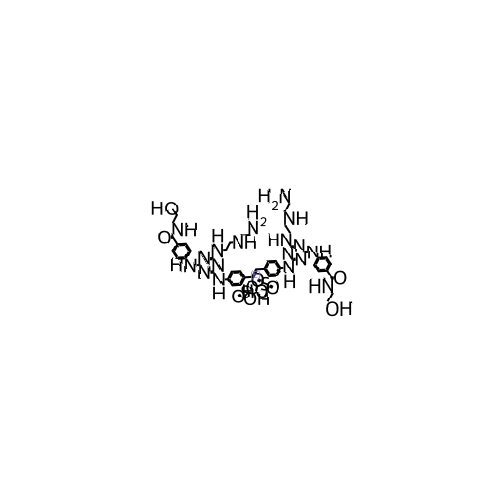 NCCNCCNc1nc(Nc2ccc(C(=O)NCCO)cc2)nc(Nc2ccc(/C=C/c3ccc(Nc4nc(NCCNCCN)nc(Nc5ccc(C(=O)NCCO)cc5)n4)cc3S(=O)(=O)O)c(S(=O)(=O)O)c2)n1